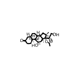 CC(=O)O[C@@]1(C(=O)CO)[C@H](C)C[C@H]2[C@@H]3CC[C@@H]4CC(=O)CC[C@]4(C)[C@@]3(F)[C@@H](O)C[C@@]21C